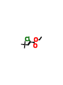 CCOC(=O)/C(Cl)=C/C(C)(C)C